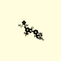 CCC(F)(c1cccc(N2Cc3c(cc(CNC4(C)CCC4)cc3C(F)(F)F)C2=O)c1)c1nncn1C